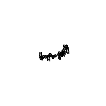 CNC(=O)c1ccc(C[C@@H](CNC(=O)CCOc2ccc(C3CC3[C@H](NC(=O)NC[C@H](Cc3ccc(C(=O)NC)c(F)c3)N(C)C)c3ccccc3)cc2)N(C)C)cc1F